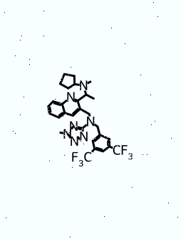 CC(c1nc2ccccc2cc1CN(Cc1cc(C(F)(F)F)cc(C(F)(F)F)c1)c1nnn(C)n1)N(C)C1CCCC1